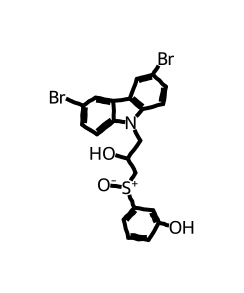 [O-][S+](CC(O)Cn1c2ccc(Br)cc2c2cc(Br)ccc21)c1cccc(O)c1